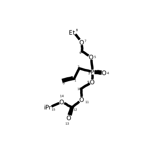 C=CCP(=O)(OCOCC)OCOC(=O)OC(C)C